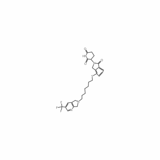 O=C1CCC(N2Cc3c(SCCCCCCCN4Cc5cc(C(F)(F)F)cnc5C4)cccc3C2=O)C(=O)N1